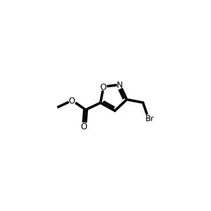 COC(=O)c1cc(CBr)no1